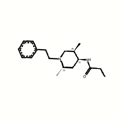 CCC(=O)N[C@H]1C[C@H](C)N(CCc2ccccc2)C[C@H]1C